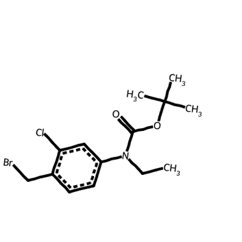 CCN(C(=O)OC(C)(C)C)c1ccc(CBr)c(Cl)c1